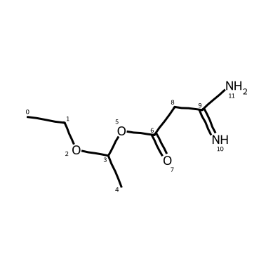 CCOC(C)OC(=O)CC(=N)N